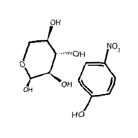 O=[N+]([O-])c1ccc(O)cc1.O[C@@H]1[C@@H](O)[C@@H](O)OC[C@H]1O